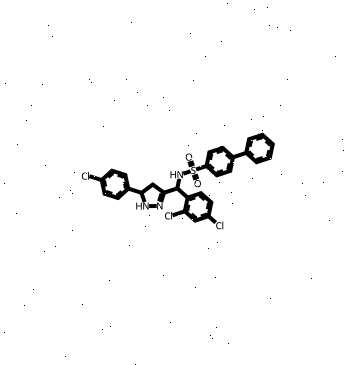 O=S(=O)(NC(C1=NNC(c2ccc(Cl)cc2)C1)c1ccc(Cl)cc1Cl)c1ccc(-c2ccccc2)cc1